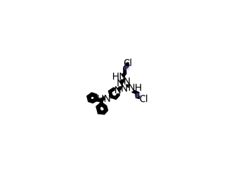 Cl/C=C/CNc1nc(NC/C=C/Cl)nc(N2CCC(NCC(c3ccccc3)c3ccccc3)CC2)n1